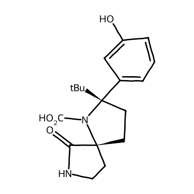 CC(C)(C)[C@@]1(c2cccc(O)c2)CC[C@]2(CCNC2=O)N1C(=O)O